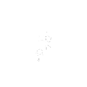 COc1c(C)ccc(C(=O)/C=C/c2cccc(C#N)c2)c1OC